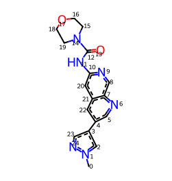 Cn1cc(-c2cnc3cnc(NC(=O)N4CCOCC4)cc3c2)cn1